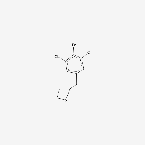 Clc1cc(CC2CCS2)cc(Cl)c1Br